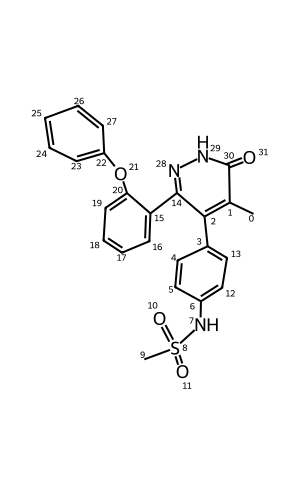 Cc1c(-c2ccc(NS(C)(=O)=O)cc2)c(-c2ccccc2Oc2ccccc2)n[nH]c1=O